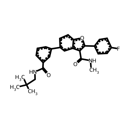 CNC(=O)c1c(-c2ccc(F)cc2)oc2ccc(-c3cccc(C(=O)NCC(C)(C)C)c3)cc12